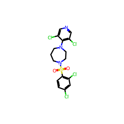 O=S(=O)(c1ccc(Cl)cc1Cl)N1CCCN(c2c(Cl)cncc2Cl)CC1